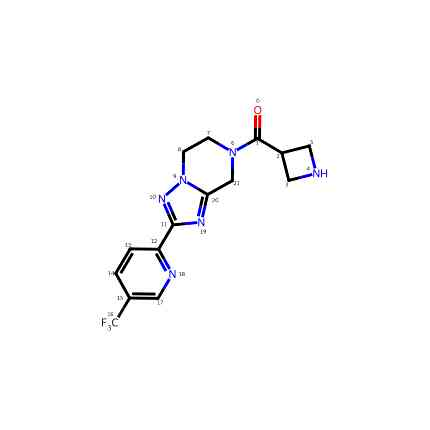 O=C(C1CNC1)N1CCn2nc(-c3ccc(C(F)(F)F)cn3)nc2C1